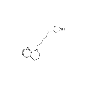 c1cnc2c(c1)CCCN2CCCCO[C@@H]1CCNC1